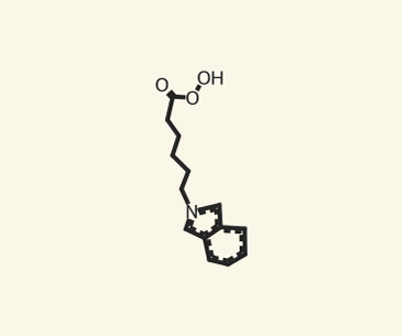 O=C(CCCCCn1cc2ccccc2c1)OO